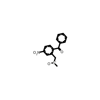 C[S+]([O-])Cc1cc([N+](=O)[O-])ccc1C(=O)c1ccccc1